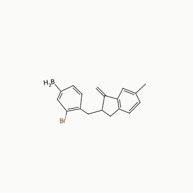 Bc1ccc(CC2Cc3ccc(C)cc3C2=C)c(Br)c1